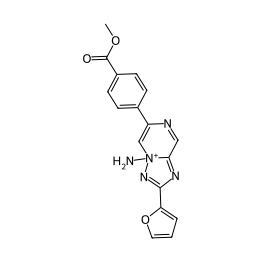 COC(=O)c1ccc(C2=C[N+]3(N)N=C(c4ccco4)N=C3C=N2)cc1